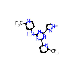 Cn1ccc(-c2nc(Nc3ccnc(C(F)(F)F)c3)nc(-c3cccc(C(F)(F)F)n3)n2)n1